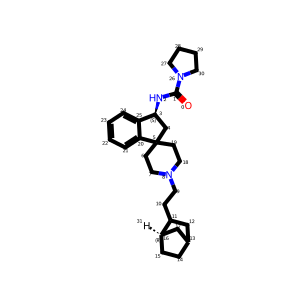 O=C(N[C@H]1CC2(CCN(CCC3CC4CC[C@@H]3C4)CC2)c2ccccc21)N1CCCC1